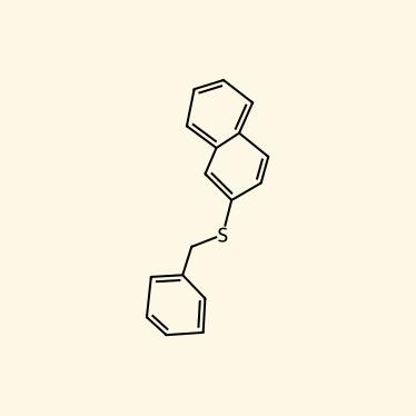 c1ccc(CSc2ccc3ccccc3c2)cc1